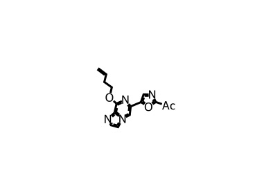 C=CCCOc1nc(-c2cnc(C(C)=O)o2)cn2ccnc12